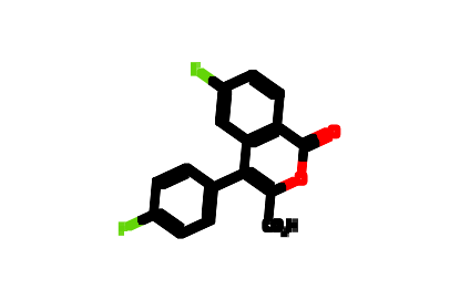 O=C(O)c1oc(=O)c2ccc(F)cc2c1-c1ccc(F)cc1